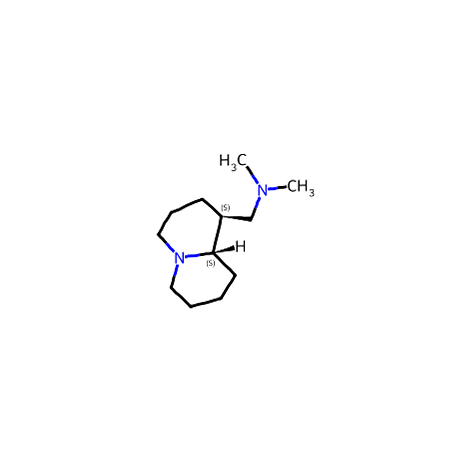 CN(C)C[C@@H]1CCCN2CCCC[C@@H]12